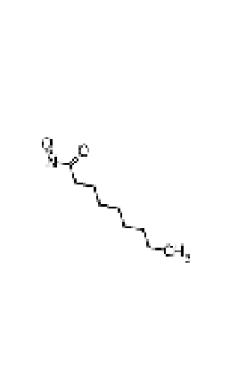 CCCCCCCCC(=O)N=O